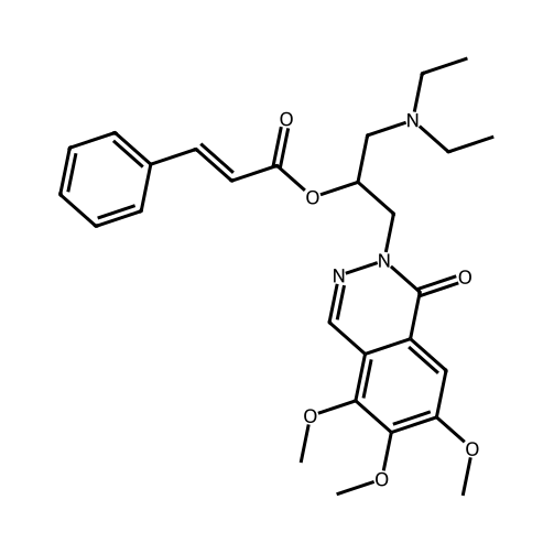 CCN(CC)CC(Cn1ncc2c(OC)c(OC)c(OC)cc2c1=O)OC(=O)C=Cc1ccccc1